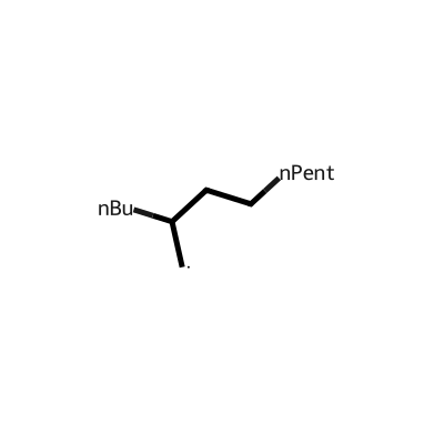 [CH2]C(CCCC)CCCCCCC